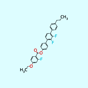 CCCc1ccc(-c2ccc(-c3ccc(OC(=O)c4ccc(OCC)cc4F)cc3)c(F)c2F)cc1